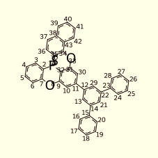 S=P12c3ccccc3Oc3cc(-c4cc(-c5ccccc5)cc(-c5ccccc5)c4)cc(c31)Oc1c2ccc2ccccc12